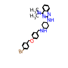 CN(C)c1nc(N[C@H]2CC[C@@H](NCc3ccc(OCc4ccc(Br)cc4)cc3)CC2)nc2ccccc12